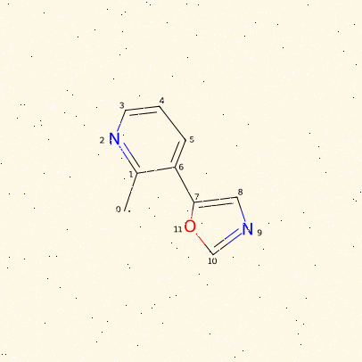 [CH2]c1ncccc1-c1cnco1